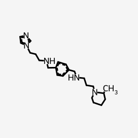 CC1CCCCN1CCCNCc1ccc(CNCCCn2ccnc2)cc1